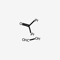 CC(C)C(=O)C(C)C.O=CO